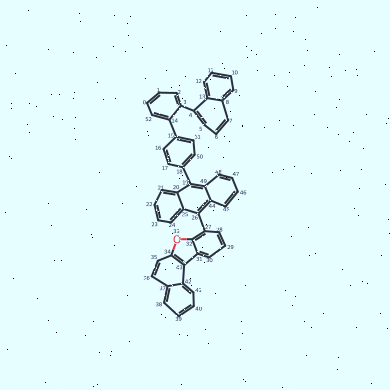 c1ccc(-c2cccc3ccccc23)c(-c2ccc(-c3c4ccccc4c(-c4cccc5c4oc4ccc6ccccc6c45)c4ccccc34)cc2)c1